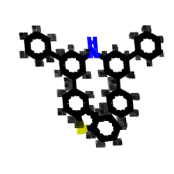 c1ccc(-c2cc(Nc3cc(-c4ccccc4)cc(-c4ccc5sc6ccccc6c5c4)c3)cc(-c3ccccc3)c2)cc1